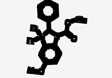 CC[Si]1(CC)c2cc(OC)ccc2N(C(=O)OC(C)(C)C)C1c1ccccc1